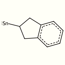 [Sn][CH]1Cc2ccccc2C1